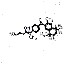 C/C(=C(/O)CCCO)c1ccc(C(=O)c2cc3c(cc2C)C(C)(C)C=CC3(C)C)cc1